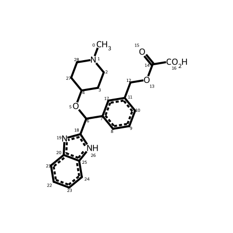 CN1CCC(OC(c2cccc(COC(=O)C(=O)O)c2)c2nc3ccccc3[nH]2)CC1